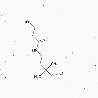 CCOC(C)(C)CCNC(=O)CCC(C)C